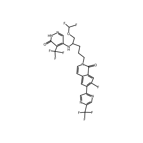 O=c1[nH]ncc(NC(CCCn2ccc3cc(-c4cnc(C(F)(F)F)cn4)c(F)cc3c2=O)COC(F)F)c1C(F)(F)F